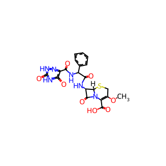 COC1=C(C(=O)O)N2C(=O)[C@@H](NC(=O)C(NC(=O)c3n[nH]c(=O)[nH]c3=O)c3ccccc3)[C@@H]2SC1